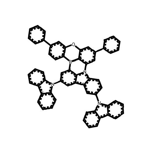 c1ccc(-c2ccc3c(c2)Oc2cc(-c4ccccc4)cc4c2B3c2cc(-n3c5ccccc5c5ccccc53)cc3c5cc(-n6c7ccccc7c7ccccc76)ccc5n-4c23)cc1